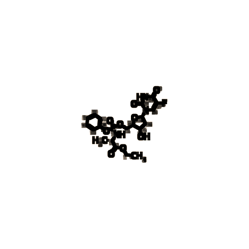 CCOC(=O)[C@H](C)NP(=O)(OC[C@H]1O[C@@H](n2cc(F)c(=O)[nH]c2=O)CC1O)Oc1ccccc1